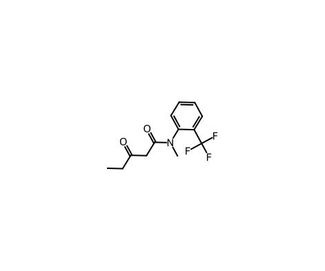 CCC(=O)CC(=O)N(C)c1ccccc1C(F)(F)F